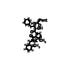 CCCC(C)C(=O)NC(Cc1ccccc1)[C@H](O)C(=O)N1CSC(C)(C)C1C(=O)NCc1ccccc1C